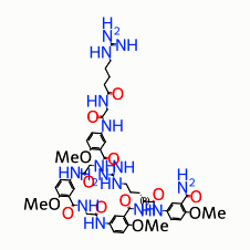 COc1ccc(NC(=O)[C@@H](CCCNC(=N)N)NC(=O)c2cc(NC(=O)CNC(=O)c3cc(NC(=O)CNC(=O)c4cc(NC(=O)CNC(=O)CCCCNC(=N)N)ccc4OC)ccc3OC)ccc2OC)cc1C(N)=O